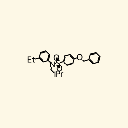 CCc1cccc(N(CC(C)C)S(=O)(=O)c2ccc(OCc3ccccc3)cc2)c1